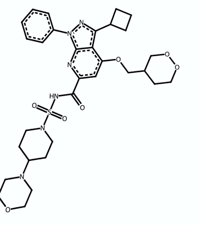 O=C(NS(=O)(=O)N1CCC(N2CCOCC2)CC1)c1cc(OCC2CCOOC2)c2c(C3CCC3)nn(-c3ccccc3)c2n1